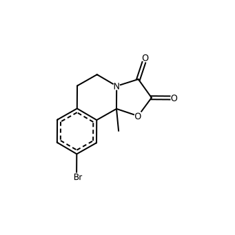 CC12OC(=O)C(=O)N1CCc1ccc(Br)cc12